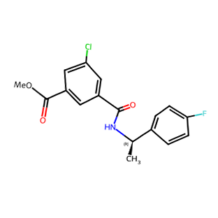 COC(=O)c1cc(Cl)cc(C(=O)N[C@H](C)c2ccc(F)cc2)c1